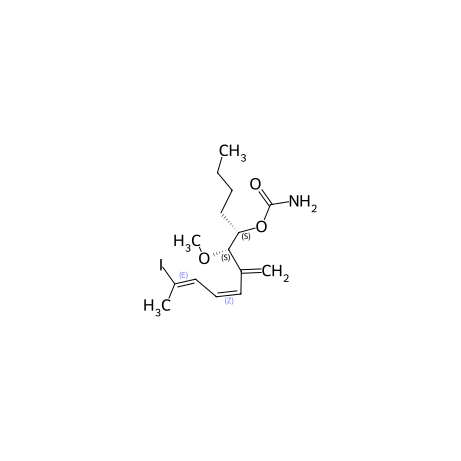 C=C(/C=C\C=C(/C)I)[C@H](OC)[C@H](CCCC)OC(N)=O